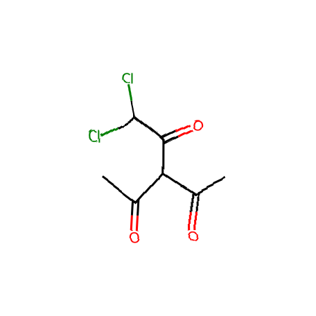 CC(=O)C(C(C)=O)C(=O)C(Cl)Cl